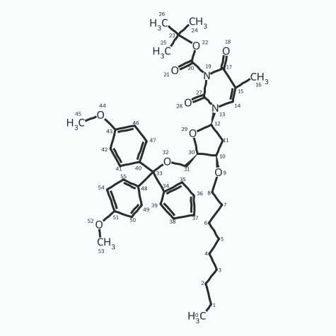 CCCCCCCCCO[C@@H]1C[C@H](n2cc(C)c(=O)n(C(=O)OC(C)(C)C)c2=O)O[C@@H]1COC(c1ccccc1)(c1ccc(OC)cc1)c1ccc(OC)cc1